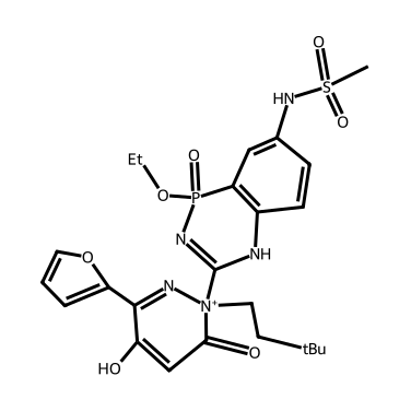 CCOP1(=O)N=C([N+]2(CCC(C)(C)C)N=C(c3ccco3)C(O)=CC2=O)Nc2ccc(NS(C)(=O)=O)cc21